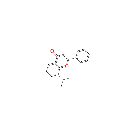 CC(C)c1cccc2c(=O)cc(-c3ccccc3)oc12